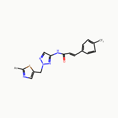 CC(=O)c1ncc(Cn2ncc(NC(=O)C=Cc3ccc(C(F)(F)F)cc3)n2)s1